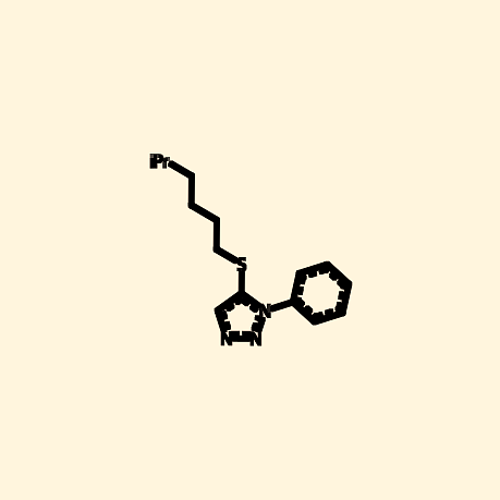 CC(C)CCCCSc1cnnn1-c1ccccc1